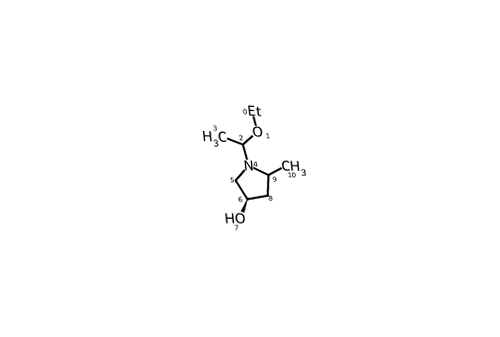 CCOC(C)N1C[C@H](O)CC1C